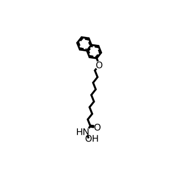 O=C(CCCCCCCCCOc1ccc2ccccc2c1)NO